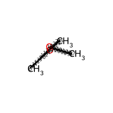 CCCCCCCCCCCCCCCCOC(=O)C(CCCCCC)CCCCCCCCCCCC